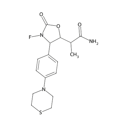 CC(C(N)=O)C1OC(=O)N(F)C1c1ccc(N2CCSCC2)cc1